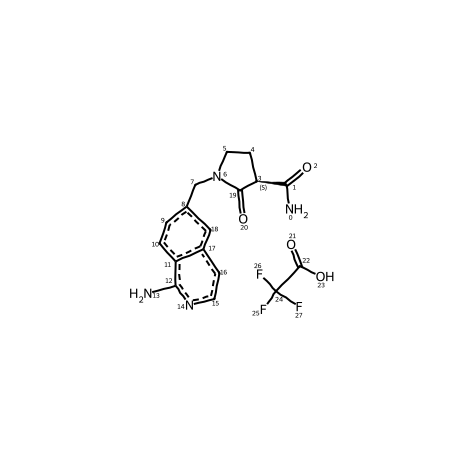 NC(=O)[C@@H]1CCN(Cc2ccc3c(N)nccc3c2)C1=O.O=C(O)C(F)(F)F